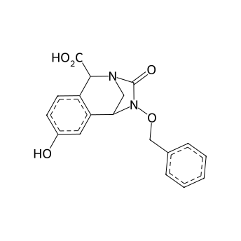 O=C(O)C1c2ccc(O)cc2C2CN1C(=O)N2OCc1ccccc1